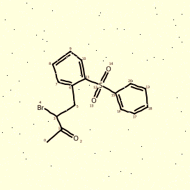 CC(=O)C(Br)Cc1ccccc1S(=O)(=O)c1ccccc1